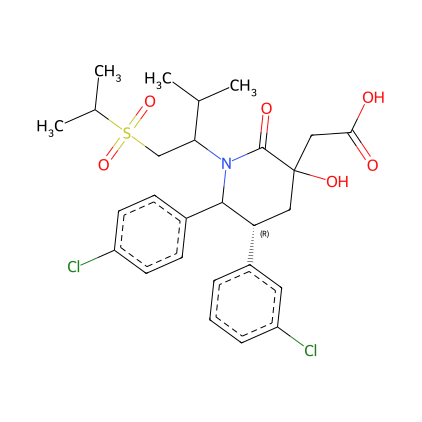 CC(C)C(CS(=O)(=O)C(C)C)N1C(=O)C(O)(CC(=O)O)C[C@H](c2cccc(Cl)c2)C1c1ccc(Cl)cc1